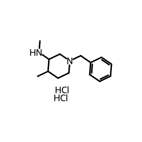 CNC1CN(Cc2ccccc2)CCC1C.Cl.Cl